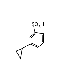 O=S(=O)(O)c1cccc(C2CC2)c1